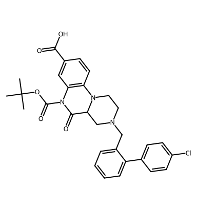 CC(C)(C)OC(=O)N1C(=O)C2CN(Cc3ccccc3-c3ccc(Cl)cc3)CCN2c2ccc(C(=O)O)cc21